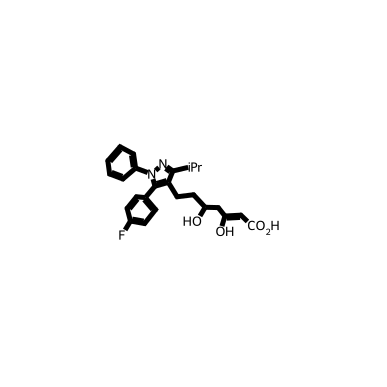 CC(C)c1nn(-c2ccccc2)c(-c2ccc(F)cc2)c1CCC(O)C/C(O)=C/C(=O)O